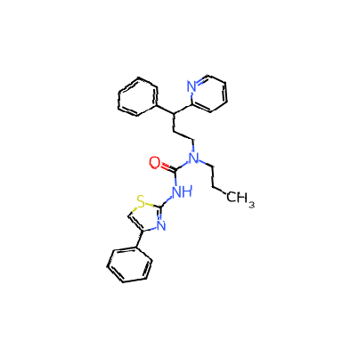 CCCN(CCC(c1ccccc1)c1ccccn1)C(=O)Nc1nc(-c2ccccc2)cs1